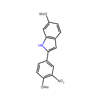 COc1ccc2cc(-c3ccc(OC)c([N+](=O)[O-])c3)[nH]c2c1